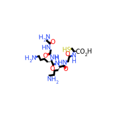 NCCCC[C@H](NC(=O)CNC(=O)CN)C(=O)N[C@@H](CCCCN)C(=O)NCC(=O)N[C@@H](CS)C(=O)O